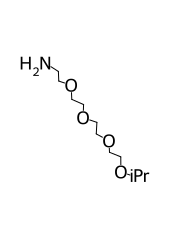 CC(C)OCCOCCOCCOCCN